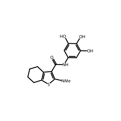 CNc1sc2c(c1C(=O)Nc1cc(O)c(O)c(O)c1)CCCC2